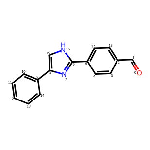 O=Cc1ccc(-c2nc(-c3ccccc3)c[nH]2)cc1